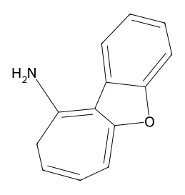 NC1=c2c(oc3ccccc23)=CC=CC1